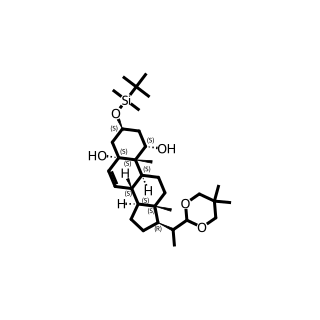 CC(C1OCC(C)(C)CO1)[C@H]1CC[C@H]2[C@@H]3C=C[C@@]4(O)C[C@@H](O[Si](C)(C)C(C)(C)C)C[C@H](O)[C@]4(C)[C@H]3CC[C@]12C